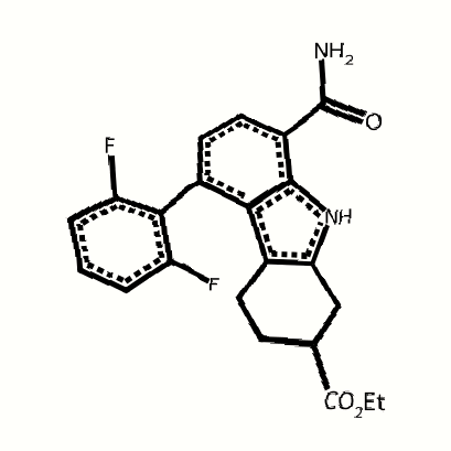 CCOC(=O)C1CCc2c([nH]c3c(C(N)=O)ccc(-c4c(F)cccc4F)c23)C1